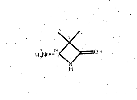 CC1(C)C(=O)N[C@@H]1N